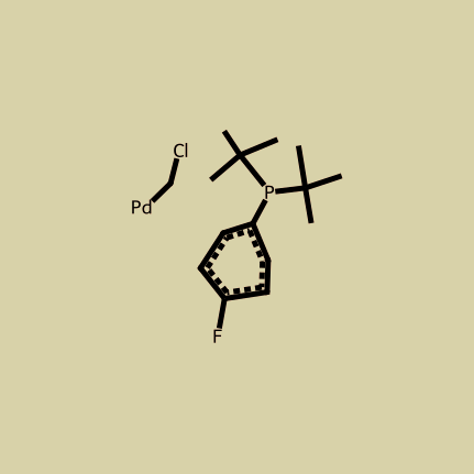 CC(C)(C)P(c1ccc(F)cc1)C(C)(C)C.Cl[CH2][Pd]